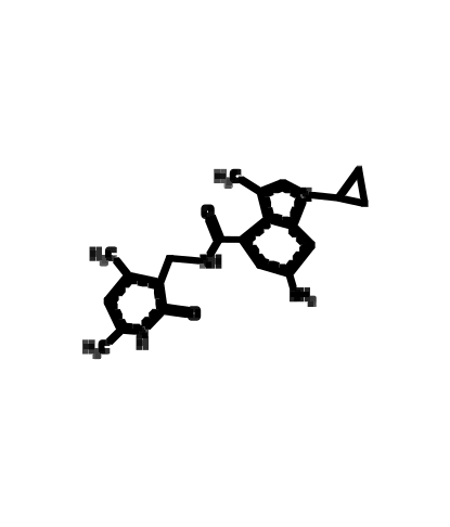 Bc1cc(C(=O)NCc2c(C)cc(C)[nH]c2=O)c2c(C)cn(C3CC3)c2c1